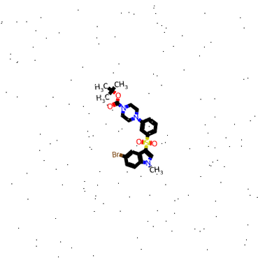 Cn1cc(S(=O)(=O)c2cccc(N3CCN(C(=O)OC(C)(C)C)CC3)c2)c2cc(Br)ccc21